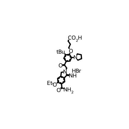 Br.CCOc1cc2c(cc1C(N)=O)C(=N)N(CC(=O)c1cc(N3CCCC3)c(OCCCC(=O)O)c(C(C)(C)C)c1)C2